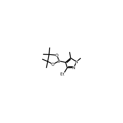 CCc1nn(C)c(C)c1B1OC(C)(C)C(C)(C)O1